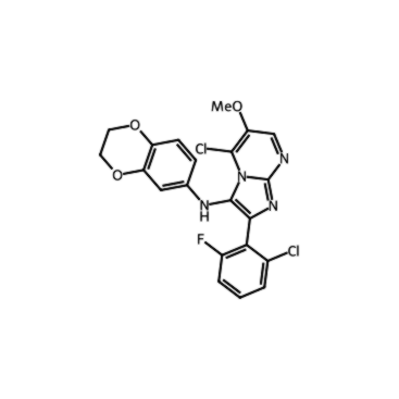 COc1cnc2nc(-c3c(F)cccc3Cl)c(Nc3ccc4c(c3)OCCO4)n2c1Cl